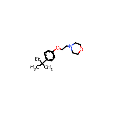 CCC(C)(C)c1ccc(OCCN2CCOCC2)cc1